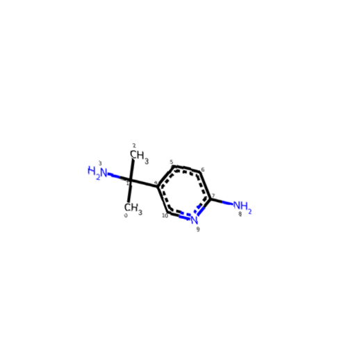 CC(C)(N)c1ccc(N)nc1